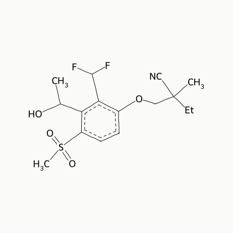 CCC(C)(C#N)COc1ccc(S(C)(=O)=O)c(C(C)O)c1C(F)F